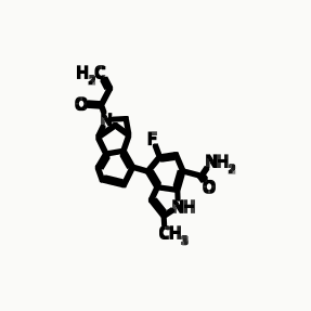 C=CC(=O)N1CC2CC1c1cccc(-c3c(F)cc(C(N)=O)c4[nH]c(C)cc34)c12